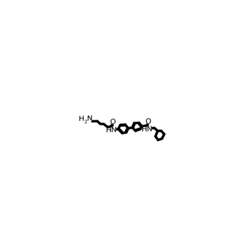 NCCCCCC(=O)Nc1ccc(-c2ccc(C(=O)NCC3CCCCC3)cc2)cc1